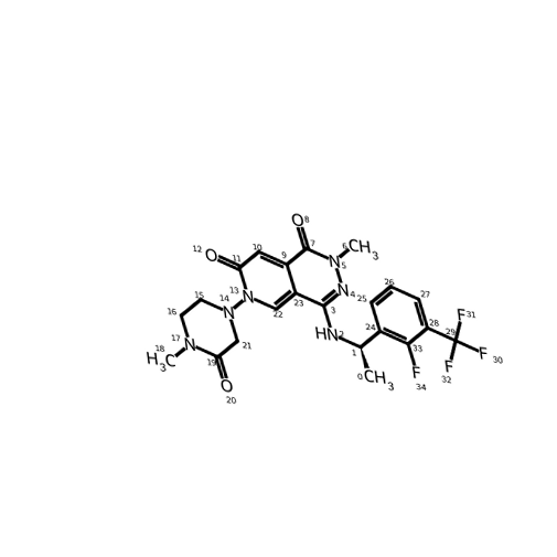 C[C@@H](Nc1nn(C)c(=O)c2cc(=O)n(N3CCN(C)C(=O)C3)cc12)c1cccc(C(F)(F)F)c1F